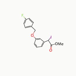 COC(=O)C(I)c1cccc(OCc2ccc(F)cc2)c1